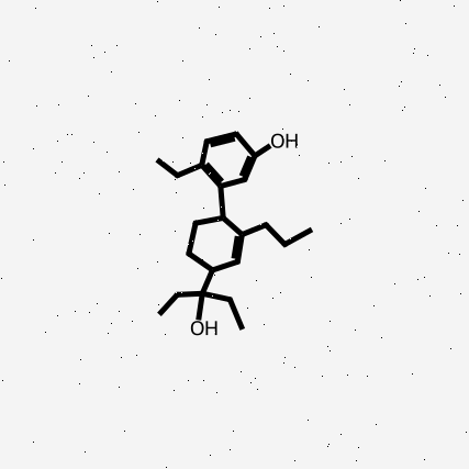 CCCC1=CC(C(O)(CC)CC)CCC1c1cc(O)ccc1CC